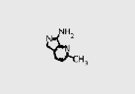 Cc1ccc2c(n1)C(N)=NC2